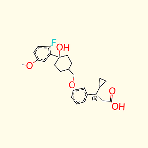 COc1ccc(F)c(C2(O)CCC(COc3cccc([C@@H](CC(=O)O)C4CC4)c3)CC2)c1